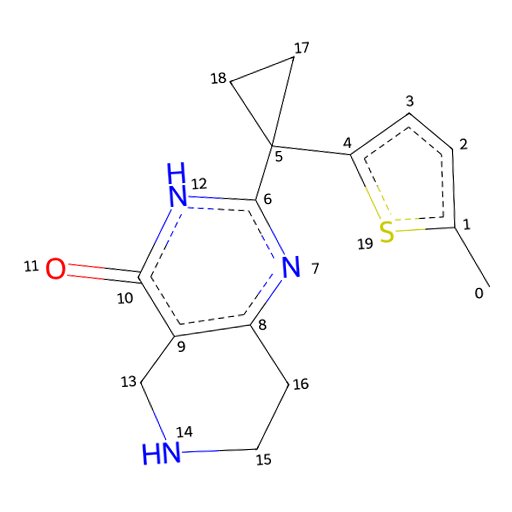 Cc1ccc(C2(c3nc4c(c(=O)[nH]3)CNCC4)CC2)s1